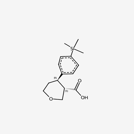 C[Si](C)(C)c1ccc([C@@H]2CCOC[C@H]2C(=O)O)cc1